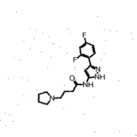 O=C(CCCN1CCCC1)Nc1cc(-c2ccc(F)cc2F)n[nH]1